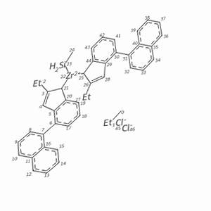 CCC.CCC1=Cc2c(-c3cccc4ccccc34)cccc2[CH]1[Zr+2]([SiH2]C)[CH]1C(CC)=Cc2c(-c3cccc4ccccc34)cccc21.[Cl-].[Cl-]